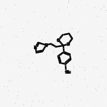 CC(C)(C)c1ccc(C2(CCn3ccnc3)OCCCO2)cc1